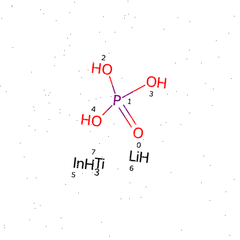 O=P(O)(O)O.[InH3].[LiH].[Ti]